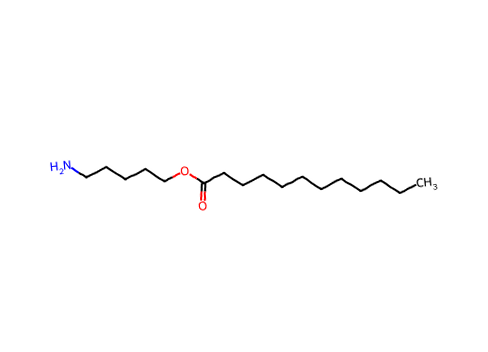 CCCCCCCCCCCC(=O)OCCCCCN